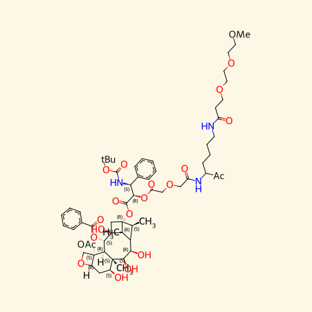 COCCOCCOCCC(=O)NCCCCC(NC(=O)COCC(=O)O[C@@H](C(=O)O[C@]12C[C@@]3(O)[C@@H](OC(=O)c4ccccc4)[C@@H]4[C@]5(OC(C)=O)CO[C@@H]5C[C@H](O)[C@@]4(C)[C@H](O)[C@H](O)C([C@@H]1C)[C@]32C)[C@@H](NC(=O)OC(C)(C)C)c1ccccc1)C(C)=O